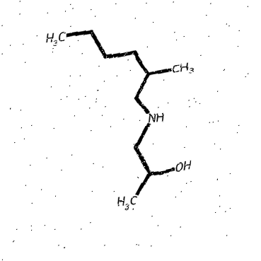 CCCCC(C)CNCC(C)O